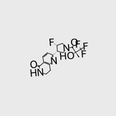 C[C@@](O)(C(=O)N1C[C@@H](F)[C@@H](c2ccc3c(n2)CCNC3=O)C1)C(F)(F)F